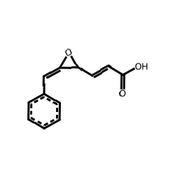 O=C(O)C=CC1OC1=Cc1ccccc1